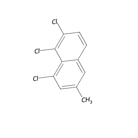 Cc1cc(Cl)c2c(Cl)c(Cl)ccc2c1